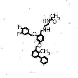 CC(=O)NCCNCc1ccc(OCc2cccc(-c3ccccc3)c2C)cc1OCc1ccc(F)c(F)c1